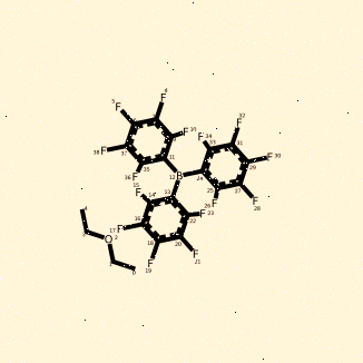 CCOCC.Fc1c(F)c(F)c(B(c2c(F)c(F)c(F)c(F)c2F)c2c(F)c(F)c(F)c(F)c2F)c(F)c1F